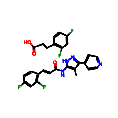 Cc1c(-c2ccncc2)n[nH]c1NC(=O)C=Cc1ccc(F)cc1F.O=C(O)CCc1ccc(F)cc1F